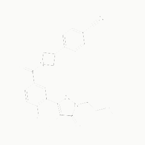 COCCn1[nH]c(-c2cc(C(=O)N3CC(c4ccc(C#N)cc4)C3)ccc2C)c(C)c1=O